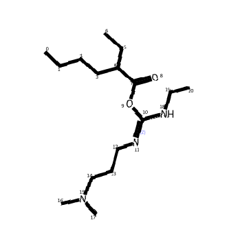 CCCCC(CC)C(=O)O/C(=N\CCCN(C)C)NCC